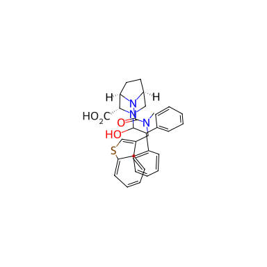 CN(Cc1csc2ccccc12)C(=O)N1[C@H]2CC[C@@H]1[C@@H](C(=O)O)N(C(O)C(c1ccccc1)c1ccccc1)C2